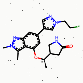 Cc1c2c(O[C@H](C)C3CNC(=O)C3)cc(-c3cnn(CCF)c3)cc2nn1C